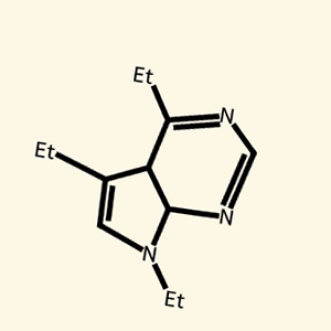 CCC1=CN(CC)C2N=CN=C(CC)C12